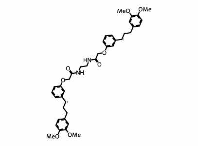 COc1ccc(CC[C]c2cccc(OCC(=O)NCCNC(=O)COc3cccc([C]CCc4ccc(OC)c(OC)c4)c3)c2)cc1OC